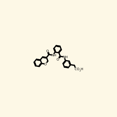 O=C(O)Cc1cccc(NC(=O)c2ccccc2NC(=O)C2=Cc3ccccc3OC2)c1